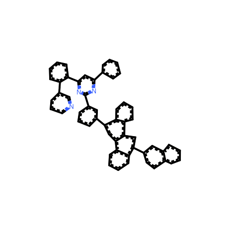 c1ccc(-c2cc(-c3ccccc3-c3cccnc3)nc(-c3cccc(-c4cc5c6ccccc6c(-c6ccc7ccccc7c6)cc5c5ccccc45)c3)n2)cc1